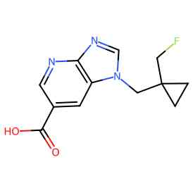 O=C(O)c1cnc2ncn(CC3(CF)CC3)c2c1